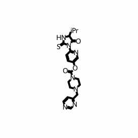 CC(C)C1NC(=S)N(c2ccc(OC(=O)N3CCN(Cc4ccncn4)CC3)cn2)C1=O